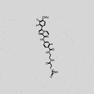 COc1ccc(-c2cnc3c(Nc4ccc(C(=O)NCCNC(=O)CC[C@@H]5NC5=O)c(C)c4)nccn23)c(F)c1F